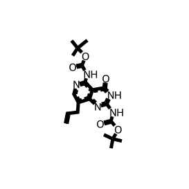 C=CCc1cnc(NC(=O)OC(C)(C)C)c2c(=O)[nH]c(NC(=O)OC(C)(C)C)nc12